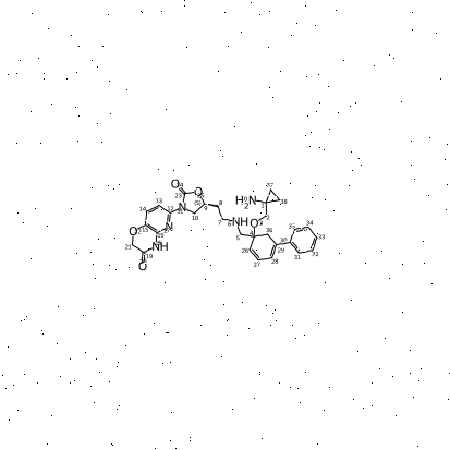 NC1(COC2(CNCC[C@H]3CN(c4ccc5c(n4)NC(=O)CO5)C(=O)O3)C=CC=C(c3ccccc3)C2)CC1